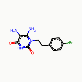 Nc1c(N)n(CCc2ccc(Br)cc2)c(=O)[nH]c1=O